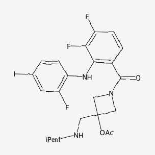 CCCC(C)NCC1(OC(C)=O)CN(C(=O)c2ccc(F)c(F)c2Nc2ccc(I)cc2F)C1